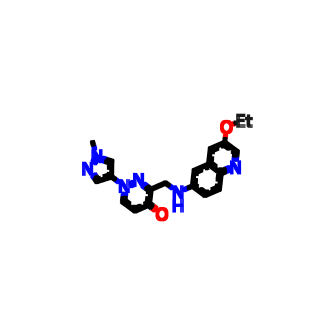 CCOc1cnc2ccc(NCc3nn(-c4cnn(C)c4)ccc3=O)cc2c1